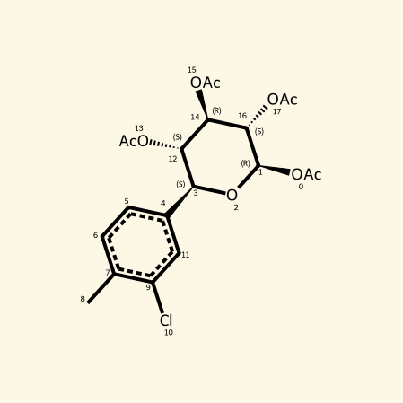 CC(=O)O[C@H]1O[C@@H](c2ccc(C)c(Cl)c2)[C@H](OC(C)=O)[C@@H](OC(C)=O)[C@@H]1OC(C)=O